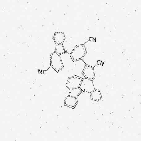 N#Cc1cc(-c2ccc(-c3ccccc3-n3c4ccccc4c4ccccc43)cc2C#N)cc(-n2c3ccccc3c3cc(C#N)ccc32)c1